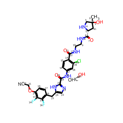 C[C@]1(O)CN[C@@H](C(=O)NCCNC(=O)c2ccc(NC(=O)c3ncc(Cc4ccc(OCC#N)c(F)c4F)[nH]3)cc2Cl)C1.O=CO